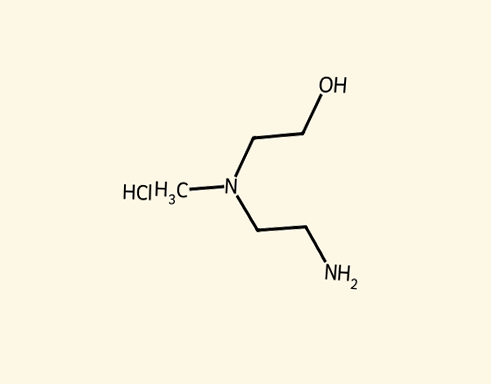 CN(CCN)CCO.Cl